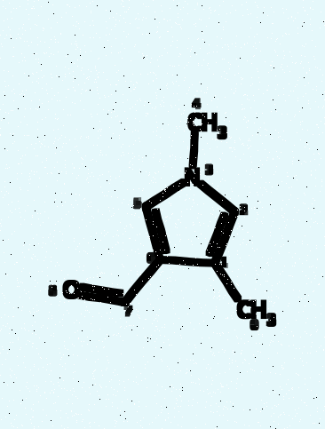 Cc1cn(C)cc1C=O